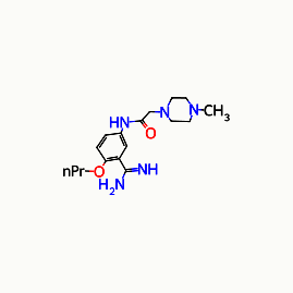 CCCOc1ccc(NC(=O)CN2CCN(C)CC2)cc1C(=N)N